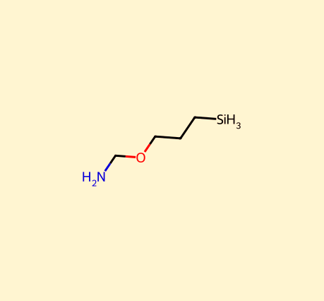 NCOCCC[SiH3]